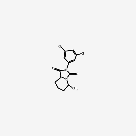 CC1CCCn2c(=O)n(-c3cc(Cl)cc(Cl)c3)c(=O)n21